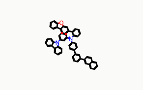 c1cc(-c2ccc(N(c3cccc(-n4c5ccccc5c5ccccc54)c3)c3ccccc3-c3ccc4c(c3)oc3ccccc34)cc2)cc(-c2ccc3ccccc3c2)c1